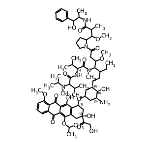 CCC(CC[C@@H]1CC(O[C@H]2C[C@](O)(C(=O)CO)Cc3c(OC(C)C)c4c(c(O)c32)C(=O)c2c(OC)cccc2C4=O)C[C@H](N)[C@@H]1O)C(C(CC(=O)N1CCCC1C(OC)C(C)C(=O)NC(C)C(O)c1ccccc1)OC)N(C)C(=O)[C@@H](NC(=O)C(C(C)C)N(C)C(C)C)C(C)C